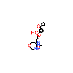 CCn1nc(CCCOC(O)c2cccc(C(=O)C3CCCC3)c2)c2c1C(=O)NCCCOCCC2